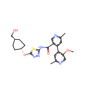 COc1cnc(C)cc1-c1cc(C)ncc1C(=O)Nc1nnc(O[C@H]2CC[C@H](CO)CC2)s1